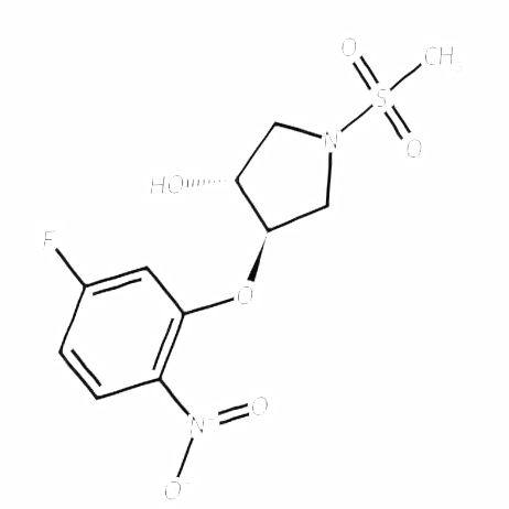 CS(=O)(=O)N1C[C@@H](O)[C@H](Oc2cc(F)ccc2[N+](=O)[O-])C1